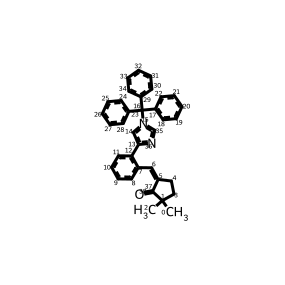 CC1(C)CCC(=Cc2ccccc2-c2cn(C(c3ccccc3)(c3ccccc3)c3ccccc3)cn2)C1=O